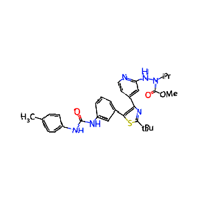 COC(=O)N(Nc1cc(-c2nc(C(C)(C)C)sc2-c2cccc(NC(=O)Nc3ccc(C)cc3)c2)ccn1)C(C)C